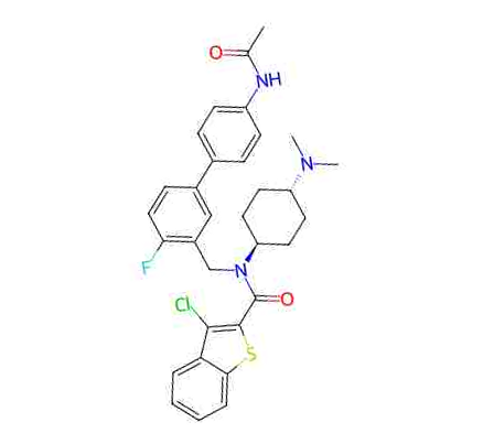 CC(=O)Nc1ccc(-c2ccc(F)c(CN(C(=O)c3sc4ccccc4c3Cl)[C@H]3CC[C@H](N(C)C)CC3)c2)cc1